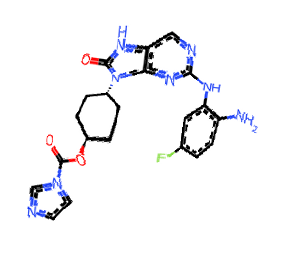 Nc1ccc(F)cc1Nc1ncc2[nH]c(=O)n([C@H]3CC[C@H](OC(=O)n4ccnc4)CC3)c2n1